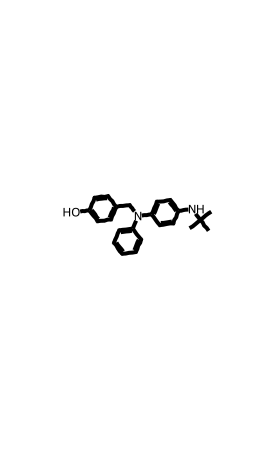 CC(C)(C)Nc1ccc(N(Cc2ccc(O)cc2)c2ccccc2)cc1